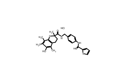 Cc1c(C)c2c(c(C)c1O)CCC(C)(C(=O)NCc1ccc(NC(=N)c3cccs3)cc1)O2.Cl